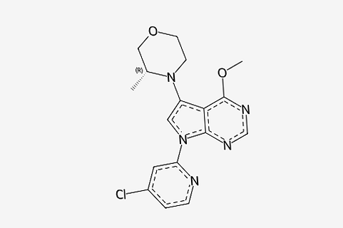 COc1ncnc2c1c(N1CCOC[C@H]1C)cn2-c1cc(Cl)ccn1